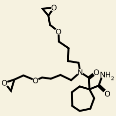 NC(=O)C1(C(=O)N(CCCCOCC2CO2)CCCCOCC2CO2)CCCCCC1